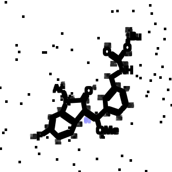 CO/C(=C1/C(=O)N(C(C)=O)c2cc(F)ccc21)c1cccc(CNC(=O)OC(C)(C)C)c1